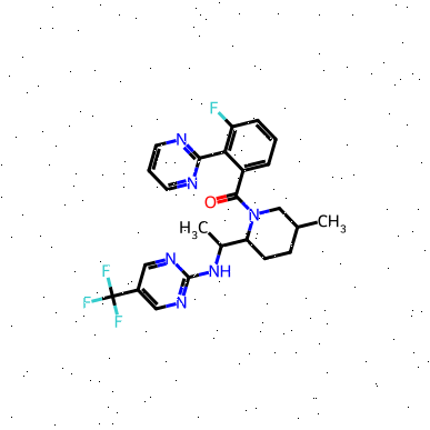 CC1CCC(C(C)Nc2ncc(C(F)(F)F)cn2)N(C(=O)c2cccc(F)c2-c2ncccn2)C1